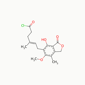 COc1c(C)c2c(c(O)c1C/C=C(\C)CCC(=O)Cl)C(=O)OC2